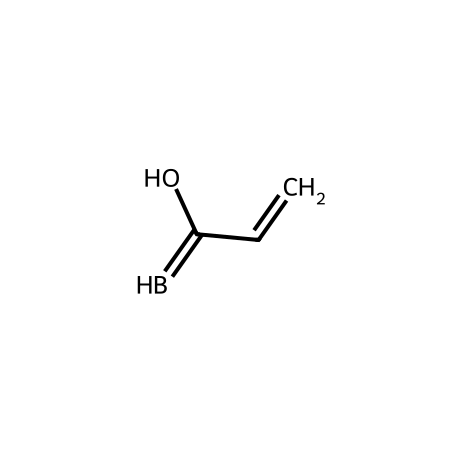 B=C(O)C=C